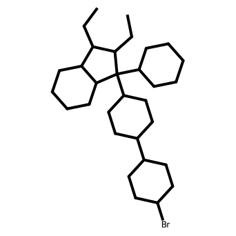 CCC1C2CCCCC2C(C2CCCCC2)(C2CCC(C3CCC(Br)CC3)CC2)C1CC